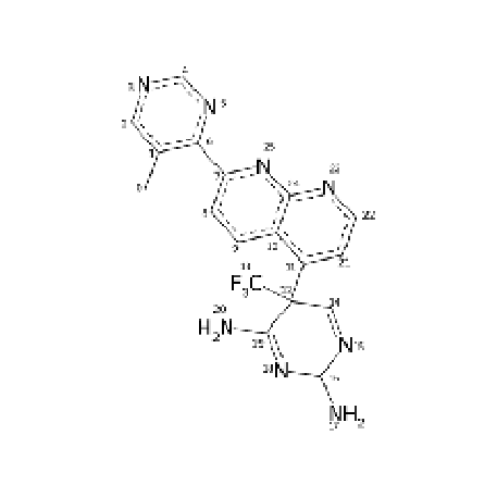 Cc1cncnc1-c1ccc2c(C3(C(F)(F)F)C=NC(N)N=C3N)ccnc2n1